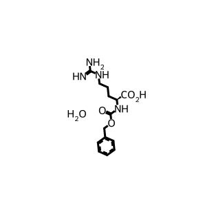 N=C(N)NCCC[C@H](NC(=O)OCc1ccccc1)C(=O)O.O